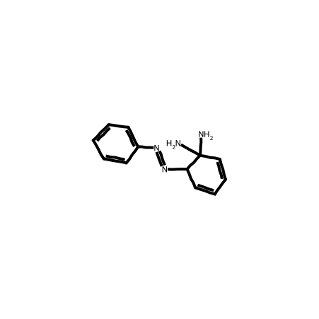 NC1(N)C=CC=CC1/N=N/c1ccccc1